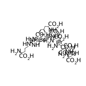 CC(C)C[C@H](N)C(=O)O.CC(C)[C@H](N)C(=O)O.CC[C@H](C)[C@H](N)C(=O)O.C[C@H](N)C(=O)O.N=C(N)NCCC[C@H](N)C(=O)O.N[C@@H](CC(=O)O)C(=O)O.N[C@@H](CO)C(=O)O.N[C@@H](Cc1ccccc1)C(=O)O